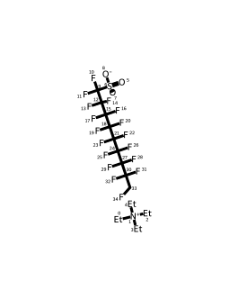 CC[N+](CC)(CC)CC.O=S(=O)([O-])C(F)(F)C(F)(F)C(F)(F)C(F)(F)C(F)(F)C(F)(F)C(F)(F)C(F)(F)CF